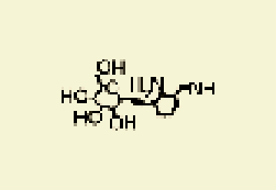 N=Cc1cccc(C#CC2OC(CO)[C@@H](O)C(O)C2O)c1N